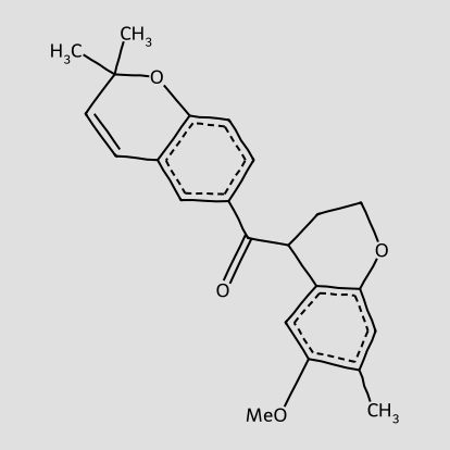 COc1cc2c(cc1C)OCCC2C(=O)c1ccc2c(c1)C=CC(C)(C)O2